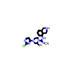 CC(C)C1CN(c2ccnc(Cl)n2)CCN1/C(=N/C#N)Nc1cccc2c1CCNC2